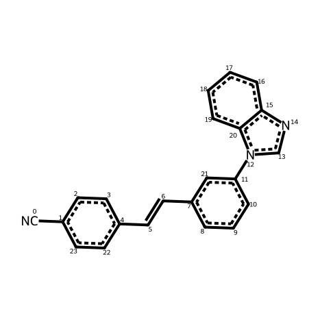 N#Cc1ccc(/C=C/c2cccc(-n3cnc4ccccc43)c2)cc1